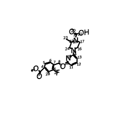 COC(=O)c1ccc(COc2cccc(N3CCN(C(=O)O)C(C)C3)n2)c(F)c1